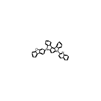 c1ccc2nc(-n3c4ccccc4c4c5c6ccccc6n(-c6ccc7c(c6)oc6ccccc67)c5ccc43)ccc2c1